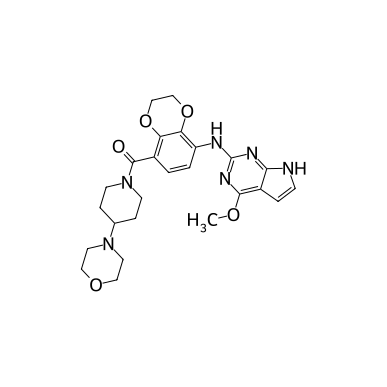 COc1nc(Nc2ccc(C(=O)N3CCC(N4CCOCC4)CC3)c3c2OCCO3)nc2[nH]ccc12